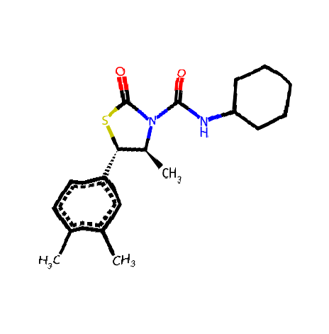 Cc1ccc([C@@H]2SC(=O)N(C(=O)NC3CCCCC3)[C@H]2C)cc1C